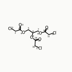 O=C(CCl)OCC(COC(=O)CCl)OC(=O)CCl